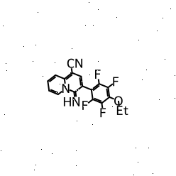 CCOc1c(F)c(F)c(-c2cc(C#N)c3ccccn3c2=N)c(F)c1F